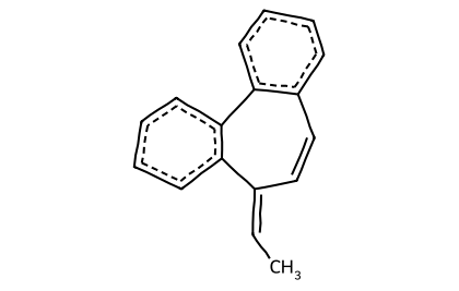 CC=C1C=Cc2ccccc2-c2ccccc21